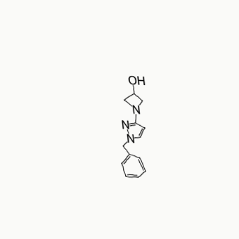 OC1CN(c2ccn(Cc3ccccc3)n2)C1